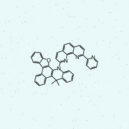 CC1(C)c2ccccc2N(c2ccc3ccc4ccc(-c5ccccn5)nc4c3n2)c2c1c1ccccc1c1c2oc2ccccc21